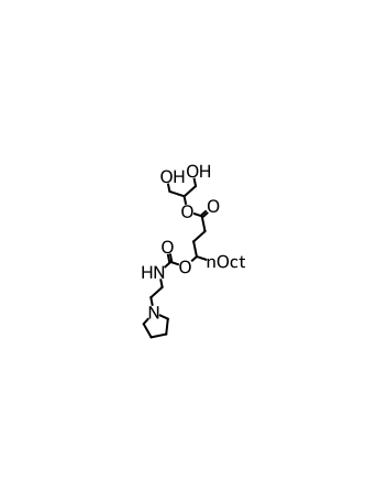 CCCCCCCCC(CCC(=O)OC(CO)CO)OC(=O)NCCN1CCCC1